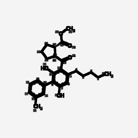 CCCCCc1cc(O)c(-c2cccc(C)c2)c(O)c1C(=O)N1CCC[C@@H]1C(=O)OC